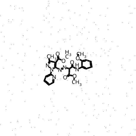 COC(=O)c1c(C)nn(-c2ccccn2)c1N=NC(C(=O)Nc1ccccc1OC)C(=O)OC